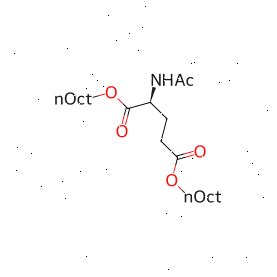 CCCCCCCCOC(=O)CC[C@H](NC(C)=O)C(=O)OCCCCCCCC